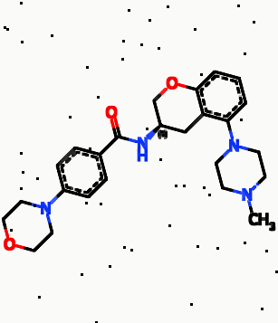 CN1CCN(c2cccc3c2C[C@@H](NC(=O)c2ccc(N4CCOCC4)cc2)CO3)CC1